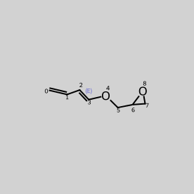 C=C/C=C/OCC1CO1